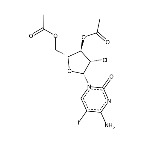 CC(=O)OC[C@H]1O[C@@H](n2cc(I)c(N)nc2=O)[C@@H](Cl)[C@@H]1OC(C)=O